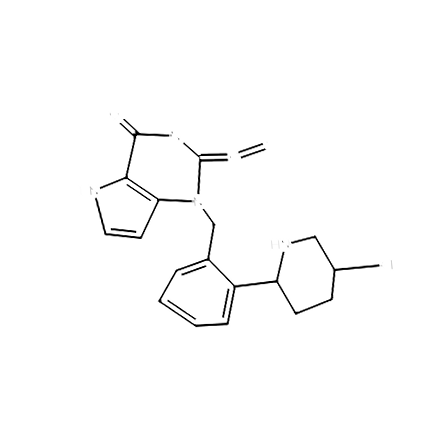 O=C1NC(=C=S)N(Cc2ccccc2C2CCC(C(F)(F)F)CN2)c2cc[nH]c21